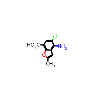 Cc1cc2c(N)c(Cl)cc(C(=O)O)c2o1